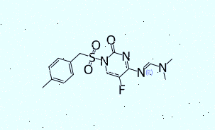 Cc1ccc(CS(=O)(=O)n2cc(F)c(/N=C/N(C)C)nc2=O)cc1